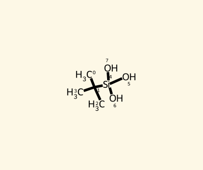 CC(C)(C)[Si](O)(O)O